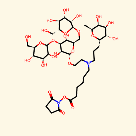 C[C@@H]1O[C@@H](CCCN(CCCCCC(=O)ON2C(=O)CCC2=O)CCO[C@H]2O[C@H](CO[C@H]3O[C@H](CO)[C@@H](O)[C@H](O)[C@@H]3O)[C@@H](O)[C@H](OC3O[C@H](CO)[C@@H](O)[C@H](O)[C@@H]3O)[C@@H]2O)[C@@H](O)[C@H](O)[C@@H]1O